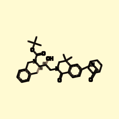 CC(C)(C)OC(=O)N1Cc2ccccc2C[C@H]1[C@H](O)CN1CC(C)(C)c2cc(N3C(=O)C4CCC3CC4)ccc2C1=O